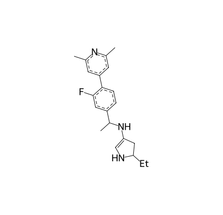 CCC1CC(NC(C)c2ccc(-c3cc(C)nc(C)c3)c(F)c2)=CN1